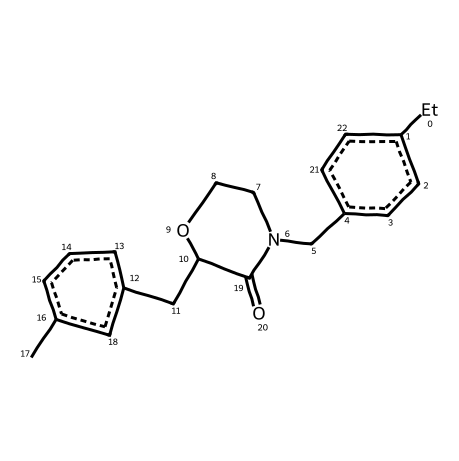 CCc1ccc(CN2CCOC(Cc3cccc(C)c3)C2=O)cc1